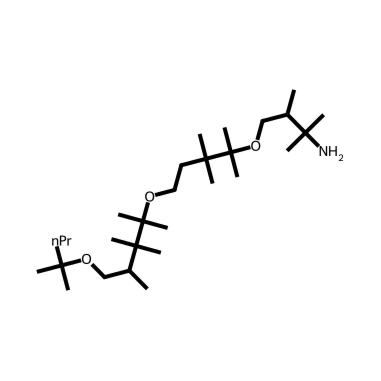 CCCC(C)(C)OCC(C)C(C)(C)C(C)(C)OCCC(C)(C)C(C)(C)OCC(C)C(C)(C)N